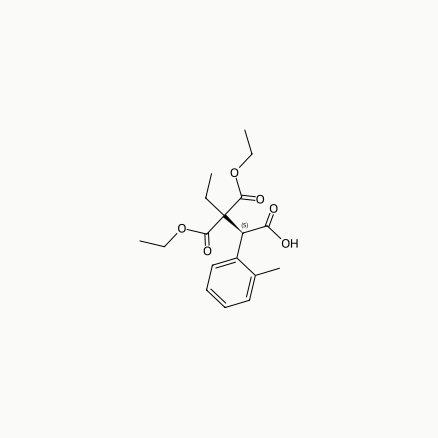 CCOC(=O)C(CC)(C(=O)OCC)[C@@H](C(=O)O)c1ccccc1C